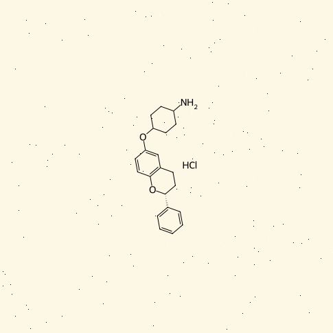 Cl.NC1CCC(Oc2ccc3c(c2)CC[C@H](c2ccccc2)O3)CC1